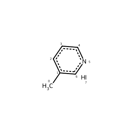 Cc1cccnc1.I